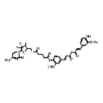 COc1cc(/C=C/C(=O)CC(=O)/C=C/c2ccc(OC(=O)CCCC(=O)OCC3OC(n4ccc(N)nc4=O)C(F)(F)C3O)c(OC)c2)ccc1O